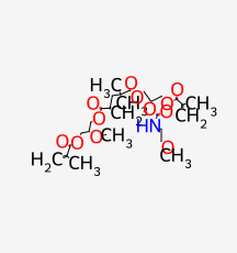 C=C(C)C(=O)OCC(COC(=O)C(=C)CC(C)(C)C(=O)OCC(COC(=O)C(=C)C)OC(=O)NCCOC)OC